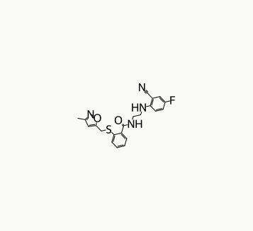 Cc1cc(CSc2ccccc2C(=O)NCCNc2ccc(F)cc2C#N)on1